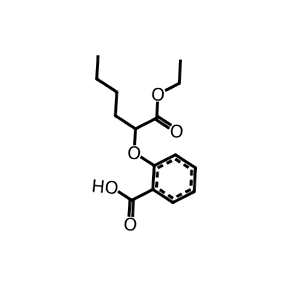 CCCCC(Oc1ccccc1C(=O)O)C(=O)OCC